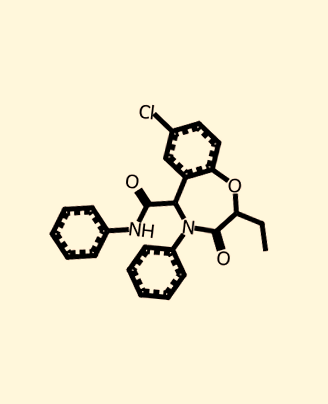 CCC1Oc2ccc(Cl)cc2C(C(=O)Nc2ccccc2)N(c2ccccc2)C1=O